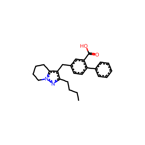 CCCCc1nn2c(c1Cc1ccc(-c3ccccc3)c(C(=O)O)c1)CCCC2